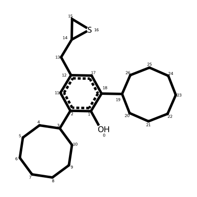 Oc1c(C2CCCCCCC2)cc(CC2CS2)cc1C1CCCCCCC1